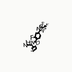 N#CC(NC(=O)c1ccc(-c2noc(C(F)(F)F)n2)cc1F)c1cccs1